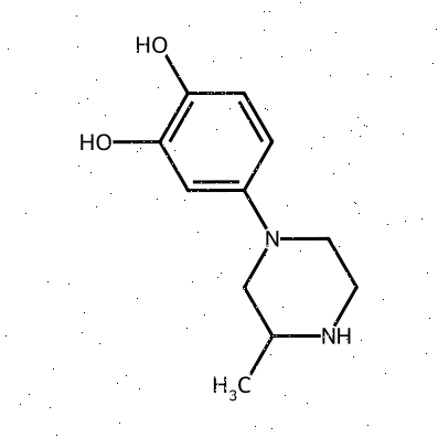 CC1CN(c2ccc(O)c(O)c2)CCN1